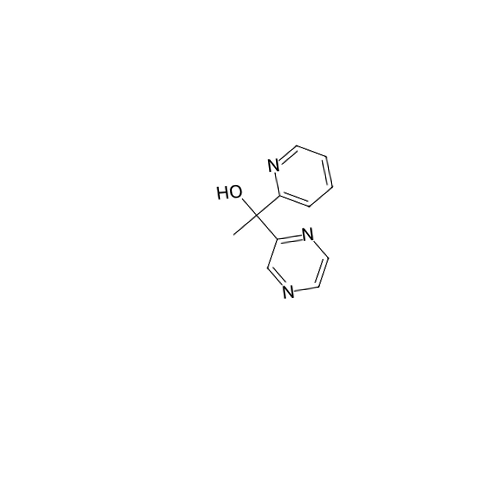 CC(O)(c1ccccn1)c1cnccn1